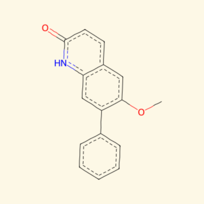 COc1cc2ccc(=O)[nH]c2cc1-c1ccccc1